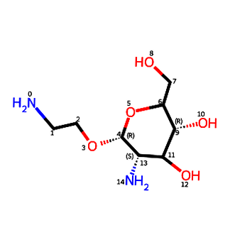 NCCO[C@@H]1OC(CO)[C@H](O)C(O)[C@@H]1N